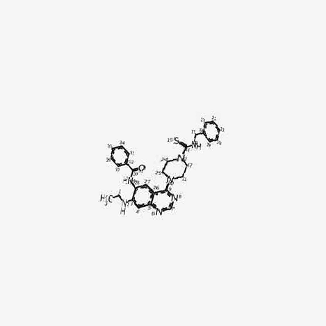 CCNc1cc2ncnc(N3CCN(C(=S)NCc4ccccc4)CC3)c2cc1NC(=O)c1ccccc1